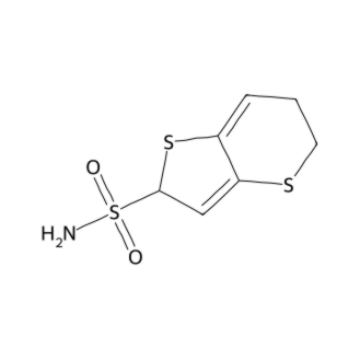 NS(=O)(=O)C1C=C2SCCC=C2S1